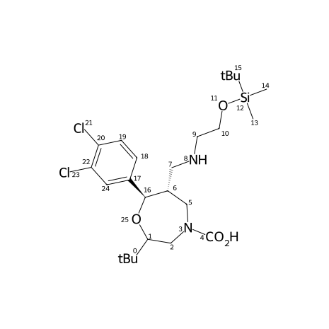 CC(C)(C)C1CN(C(=O)O)C[C@@H](CNCCO[Si](C)(C)C(C)(C)C)[C@H](c2ccc(Cl)c(Cl)c2)O1